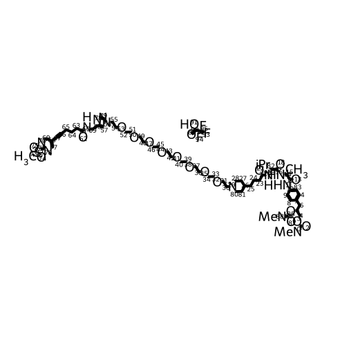 CNC(=O)OCC(Cc1ccc(NC(=O)[C@H](C)NC(=O)[C@@H](NC(=O)CCCC2CCN(CCOCCOCCOCCOCCOCCOCCOCCOCCn3cc(CNC(=O)CCCC#Cc4cnc(S(C)(=O)=O)nc4)nn3)CC2)C(C)C)cc1)OC(=O)NC.O=C(O)C(F)(F)F